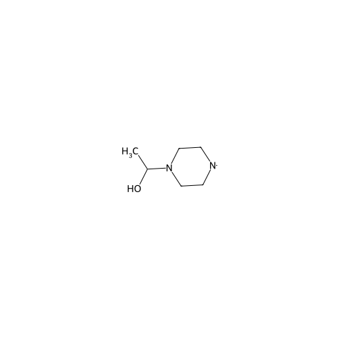 CC(O)N1CC[N]CC1